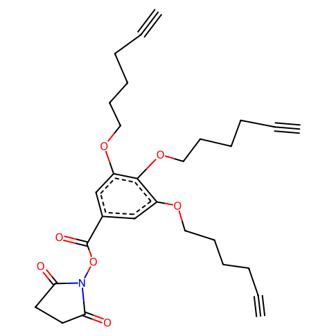 C#CCCCCOc1cc(C(=O)ON2C(=O)CCC2=O)cc(OCCCCC#C)c1OCCCCC#C